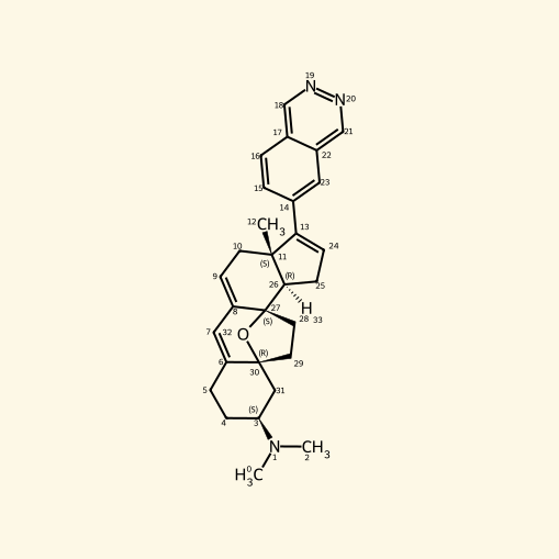 CN(C)[C@H]1CCC2=CC3=CC[C@]4(C)C(c5ccc6cnncc6c5)=CC[C@H]4[C@@]34CC[C@]2(C1)O4